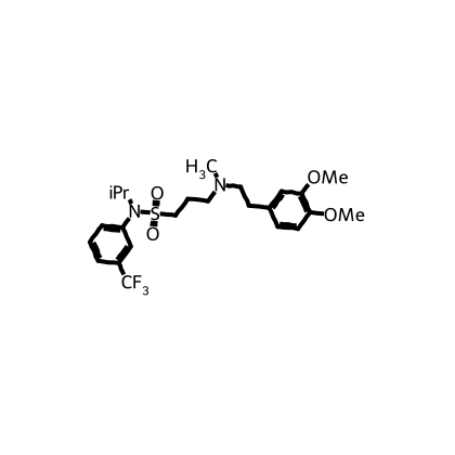 COc1ccc(CCN(C)CCCS(=O)(=O)N(c2cccc(C(F)(F)F)c2)C(C)C)cc1OC